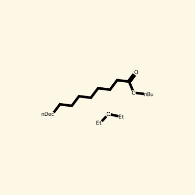 CCCCCCCCCCCCCCCCCC(=O)OCCCC.CCOCC